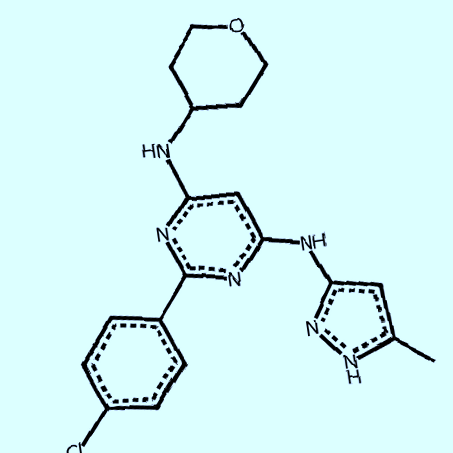 Cc1cc(Nc2cc(NC3CCOCC3)nc(-c3ccc(Cl)cc3)n2)n[nH]1